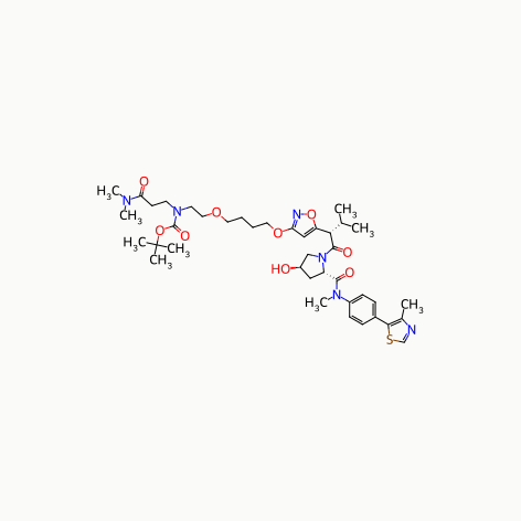 Cc1ncsc1-c1ccc(N(C)C(=O)[C@@H]2C[C@@H](O)CN2C(=O)[C@H](c2cc(OCCCCOCCN(CCC(=O)N(C)C)C(=O)OC(C)(C)C)no2)C(C)C)cc1